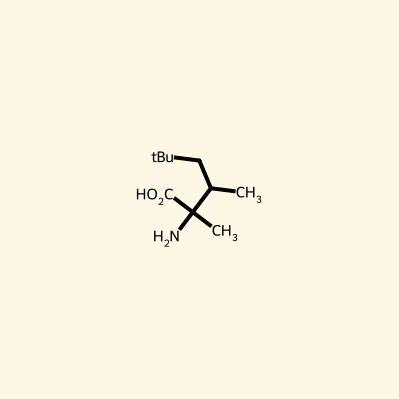 CC(CC(C)(C)C)C(C)(N)C(=O)O